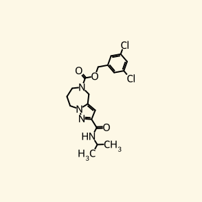 CC(C)NC(=O)c1cc2n(n1)CCCN(C(=O)OCc1cc(Cl)cc(Cl)c1)C2